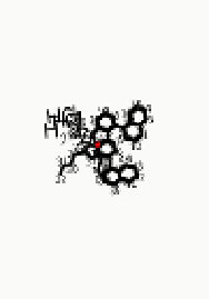 CCCCC1=Cc2c(-c3cccc4ccccc34)cccc2[CH]1[Zr]([CH3])([CH3])(=[SiH2])[CH]1C(CCCC)=Cc2c(-c3cccc4ccccc34)cccc21.Cl.Cl